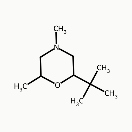 CC1CN(C)CC(C(C)(C)C)O1